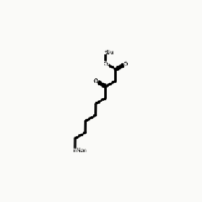 CCCCCCCCCCCCCCCC(=O)CC(=O)OC(C)(C)C